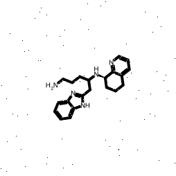 NCCCC(Cc1nc2ccccc2[nH]1)N[C@@H]1CCCc2cccnc21